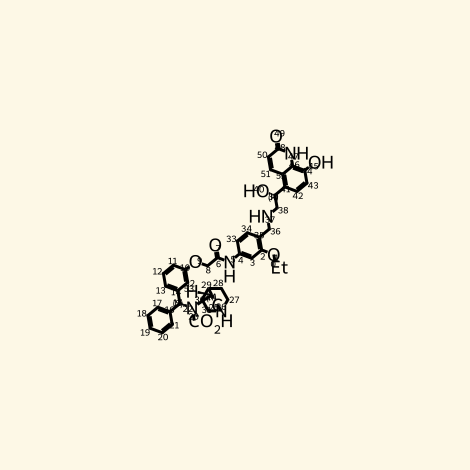 CCOc1cc(NC(=O)COc2cccc([C@H](c3ccccc3)N(C(=O)O)[C@H]3CN4CCC3CC4)c2)ccc1CNC[C@H](O)c1ccc(O)c2[nH]c(=O)ccc12